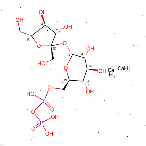 O=P(O)(O)OP(=O)(O)OC[C@H]1O[C@H](O[C@]2(CO)O[C@H](CO)[C@@H](O)[C@@H]2O)[C@H](O)[C@@H](O)[C@@H]1O.[CaH2].[CaH2]